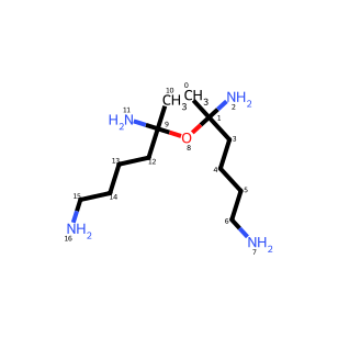 CC(N)(CCCCN)OC(C)(N)CCCCN